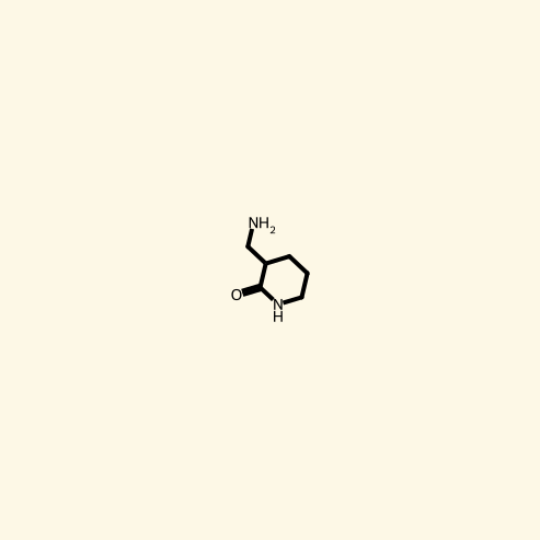 NCC1CCCNC1=O